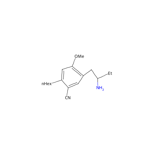 CCCCCCc1cc(OC)c(CC(N)CC)cc1C#N